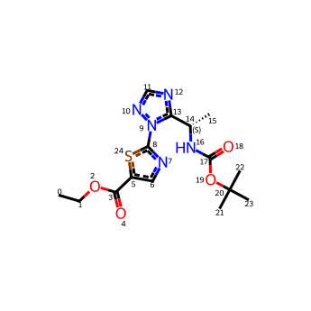 CCOC(=O)c1cnc(-n2ncnc2[C@H](C)NC(=O)OC(C)(C)C)s1